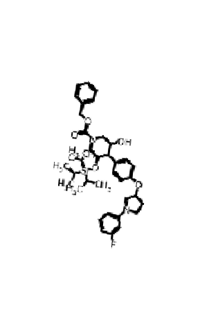 CC(C)[Si](OC1CN(C(=O)OCc2ccccc2)CC(O)C1c1ccc(OC2CCN(c3cccc(F)c3)C2)cc1)(C(C)C)C(C)C